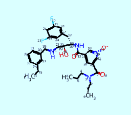 CCCN(CCC)C(=O)c1cc(C(=O)N[C@@H](Cc2cc(F)cc(F)c2)[C@@H](O)CNCc2cccc(CC)c2)c[n+]([O-])c1